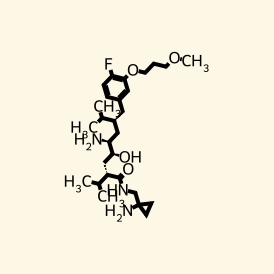 COCCCOc1cc(C[C@@H](C[C@H](N)[C@@H](O)C[C@H](C(=O)NCC2(N)CC2)C(C)C)C(C)C)ccc1F